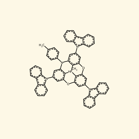 Cc1ccc(N2c3cc(-n4c5ccccc5c5ccccc54)cc4c3[PH]3(C)c5c(cc(-n6c7ccccc7c7ccccc76)cc5Oc5cc(-n6c7ccccc7c7ccccc76)cc2c53)O4)cc1